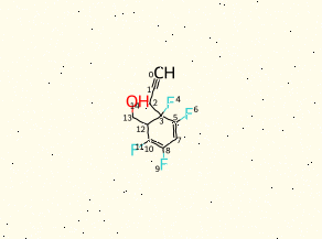 C#CCC1(F)C(F)=CC(F)=C(F)C1CO